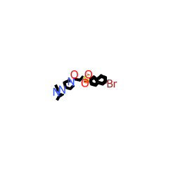 Cc1cn(C2CCN(C(=O)CCS(=O)(=O)c3ccc4cc(Br)ccc4c3)CC2)c(C)n1